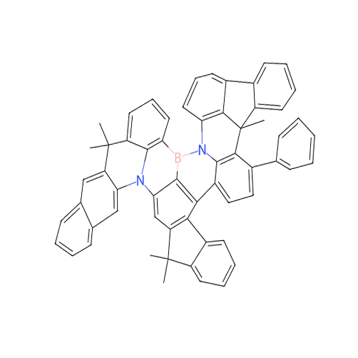 CC1(C)c2ccccc2-c2c1cc1c3c2-c2ccc(-c4ccccc4)c4c2N(B3c2cccc3c2N1c1cc2ccccc2cc1C3(C)C)c1cccc2c1C4(C)c1ccccc1-2